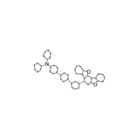 c1ccc(N(c2ccccc2)c2ccc(-c3ccc(-c4cccc(-c5cc6oc7ccccc7c6c6oc7ccccc7c56)c4)cc3)cc2)cc1